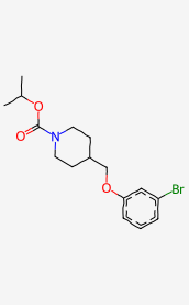 CC(C)OC(=O)N1CCC(COc2cccc(Br)c2)CC1